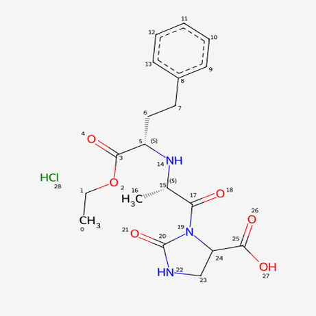 CCOC(=O)[C@H](CCc1ccccc1)N[C@@H](C)C(=O)N1C(=O)NCC1C(=O)O.Cl